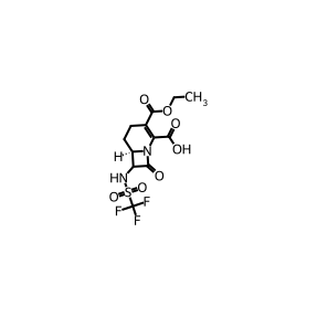 CCOC(=O)C1=C(C(=O)O)N2C(=O)C(NS(=O)(=O)C(F)(F)F)[C@H]2CC1